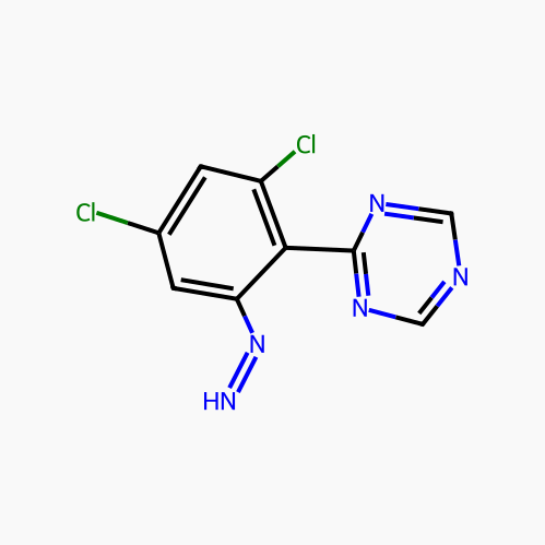 N=Nc1cc(Cl)cc(Cl)c1-c1ncncn1